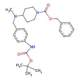 CN(Cc1ccc(NC(=O)OC(C)(C)C)cc1)C1CCN(C(=O)OCc2ccccc2)CC1